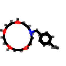 CC(C)(C)c1ccc(CN2CCOCCOCCOCCOCC2)cc1